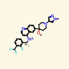 COC1(c2ccc3nccc(N[C@H](C)c4cccc(C(F)F)c4F)c3c2)CCN(c2cnn(C)c2)CC1